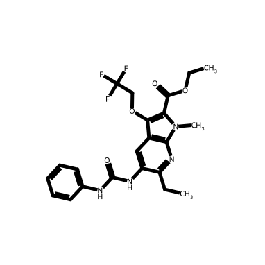 CCOC(=O)c1c(OCC(F)(F)F)c2cc(NC(=O)Nc3ccccc3)c(CC)nc2n1C